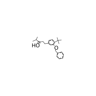 CC(C)[C@@H](O)CCc1ccc(C(C)(C)C)c(OCc2ccccc2)c1